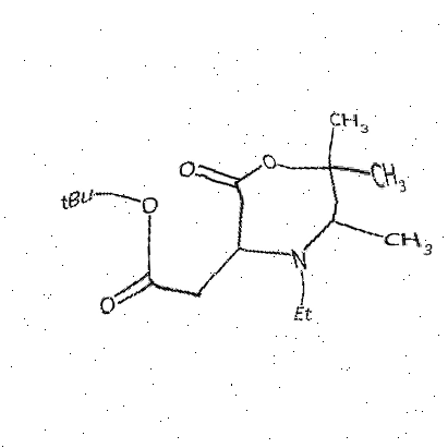 CCN1C(CC(=O)OC(C)(C)C)C(=O)OC(C)(C)C1C